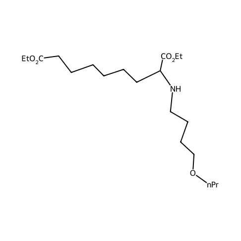 CCCOCCCCNC(CCCCCCC(=O)OCC)C(=O)OCC